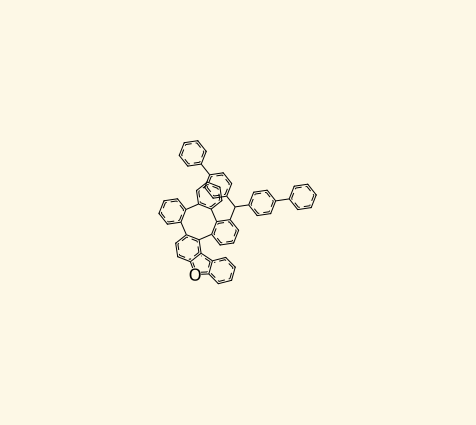 c1ccc(-c2ccc(C(c3ccc(-c4ccccc4)cc3)c3cccc4c3-c3ccccc3-c3ccccc3-c3ccc5oc6ccccc6c5c3-4)cc2)cc1